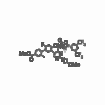 COC(=O)c1ccc(-c2cc(-c3cnc(N4CC(OC)C4)nc3CN3C(=O)O[C@H](c4cc(C(F)(F)F)cc(C(F)(F)F)c4)[C@@H]3C)c(OC)cc2F)c(C)c1